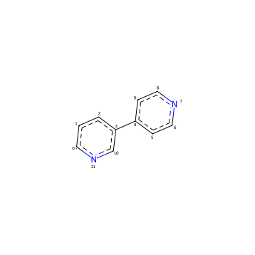 [c]1ccc(-c2ccncc2)cn1